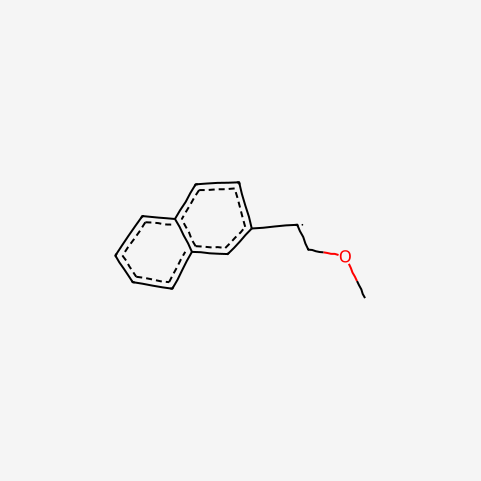 COC[CH]c1ccc2ccccc2c1